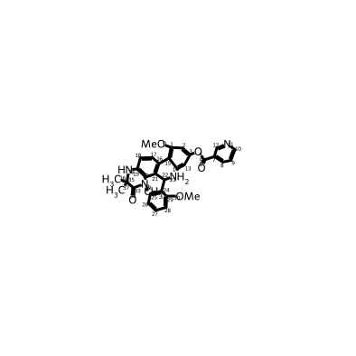 COc1cc(OC(=O)c2cccnc2)ccc1-c1ccc2c(c1C(N)c1ccccc1OC)N(C)C(=O)C(C)(C)N2